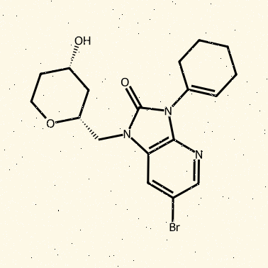 O=c1n(C[C@H]2C[C@@H](O)CCO2)c2cc(Br)cnc2n1C1=CCCCC1